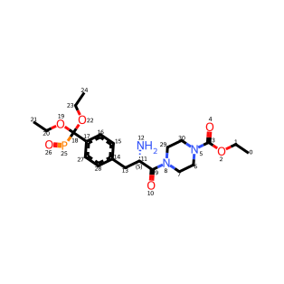 CCOC(=O)N1CCN(C(=O)[C@@H](N)Cc2ccc(C(OCC)(OCC)P=O)cc2)CC1